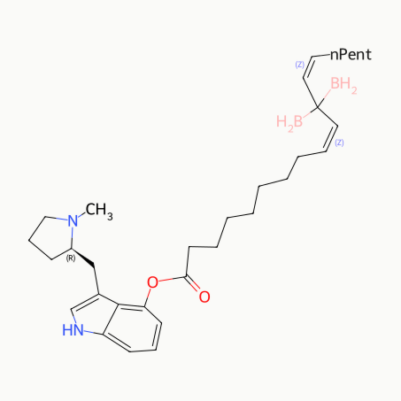 BC(B)(/C=C\CCCCC)/C=C\CCCCCCCC(=O)Oc1cccc2[nH]cc(C[C@H]3CCCN3C)c12